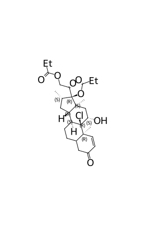 CCC(=O)OCC(=O)[C@@]1(OC(=O)CC)[C@@H](C)C[C@H]2[C@@H]3CCC4CC(=O)C=C[C@]4(C)[C@@]3(Cl)[C@@H](O)C[C@@]21C